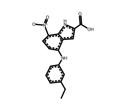 CCc1cccc(Nc2ccc([N+](=O)[O-])c3[nH]c(C(=O)O)cc23)c1